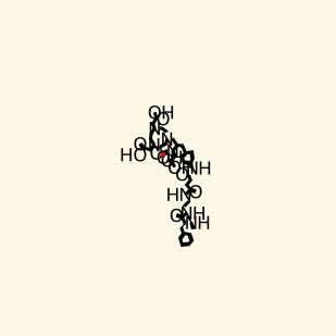 CN[C@@H](Cc1ccccc1)C(=O)NCCNC(=O)CCC(=O)Nc1ccc(CC(CN2CCN(CC(=O)O)CCN(CC(=O)O)CC2)N(CC(=O)O)CC(=O)O)cc1